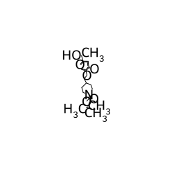 CC(O)c1cc(=O)c(OCC2CCN(C(=O)OC(C)(C)C)CC2)co1